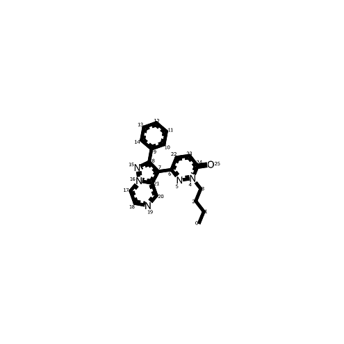 CCCCn1nc(-c2c(-c3ccccc3)nn3ccncc23)ccc1=O